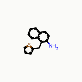 Nc1ccc2ccccc2c1Cc1cccs1